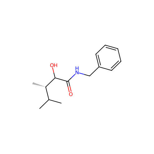 CC(C)[C@H](C)C(O)C(=O)NCc1ccccc1